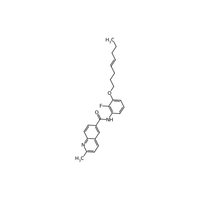 CCCC=CCCCOc1cccc(NC(=O)c2ccc3nc(C)ccc3c2)c1F